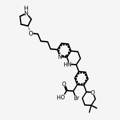 CC1(C)CCC(c2ccc(C3CCc4ccc(CCCCO[C@@H]5CCNC5)nc4N3)cc2C(Br)C(=O)O)OC1